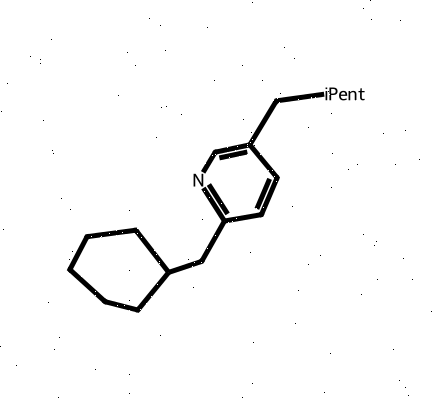 CCCC(C)Cc1ccc(CC2CCCCC2)nc1